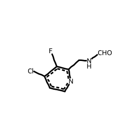 O=CNCc1nccc(Cl)c1F